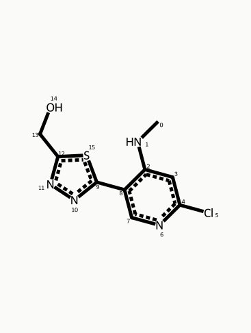 CNc1cc(Cl)ncc1-c1nnc(CO)s1